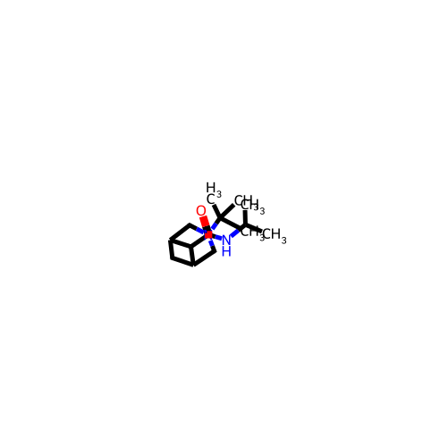 CC(C)NC(=O)C1C2CC1CN(C(C)(C)C)C2